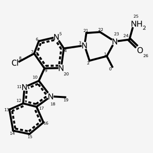 CC1CN(c2ncc(Cl)c(-c3nc4ccccc4n3C)n2)CCN1C(N)=O